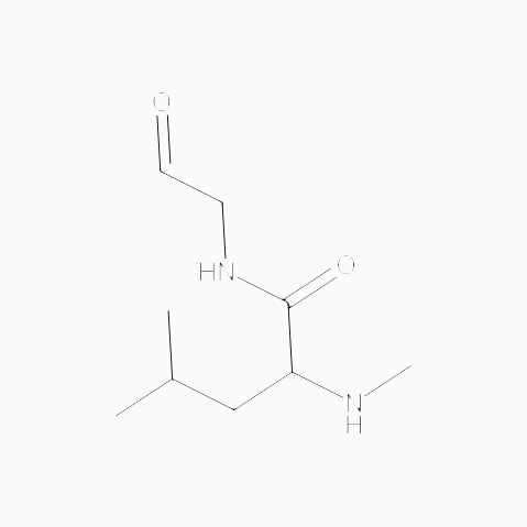 CNC(CC(C)C)C(=O)NCC=O